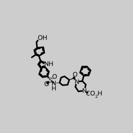 Cc1cc(CO)ccc1-c1cc2ccc(S(=O)(=O)N[C@H]3CC[C@H](C(=O)N4CCN(C(=O)O)CC4c4ccccc4)CC3)cc2[nH]1